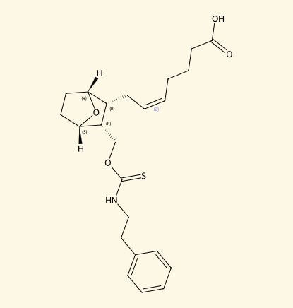 O=C(O)CCC/C=C\C[C@@H]1[C@H](COC(=S)NCCc2ccccc2)[C@@H]2CC[C@H]1O2